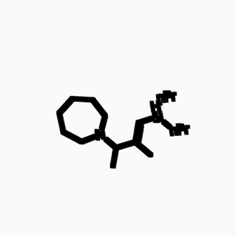 CCC[SiH](C=C(C)C(C)N1CCCCCC1)CCC